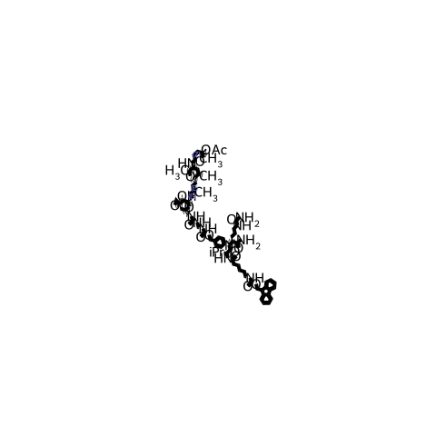 CC(=O)O[C@@H](C)/C=C\C(=O)N[C@@H]1C[C@H](C)[C@H](C/C=C(C)/C=C/[C@H]2O[C@H](CNC(=O)NCNC(=O)OCc3ccc(N(C(=O)[C@@H](NC(=O)CCCCCNC(=O)OCC4c5ccccc5-c5ccccc54)C(C)C)[C@@H](CCCNC(N)=O)C(N)=O)cc3)C[C@@]3(CO3)[C@@H]2O)O[C@@H]1C